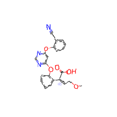 COC/C=C(\C(=O)O)c1ccccc1Oc1cc(Oc2ccccc2C#N)ncn1